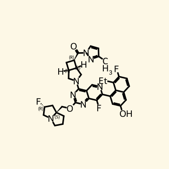 CCc1c(F)ccc2cc(O)cc(-c3ncc4c(N5C[C@@H]6C[C@@H](C(=O)n7ccc(C)n7)[C@@H]6C5)nc(OC[C@@]56CCCN5C[C@H](F)C6)nc4c3F)c12